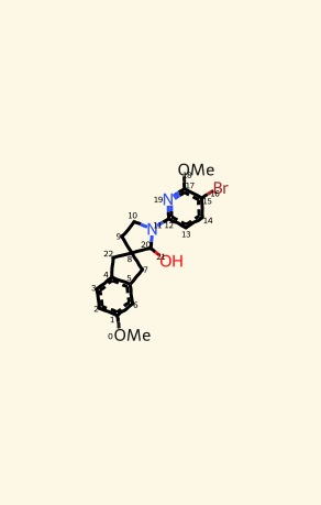 COc1ccc2c(c1)CC1(CCN(c3ccc(Br)c(OC)n3)C1O)C2